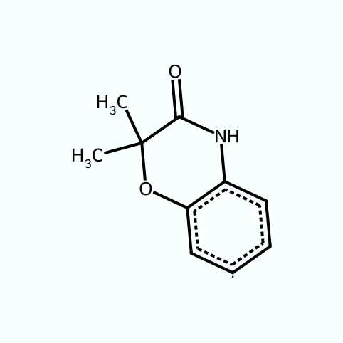 CC1(C)Oc2c[c]ccc2NC1=O